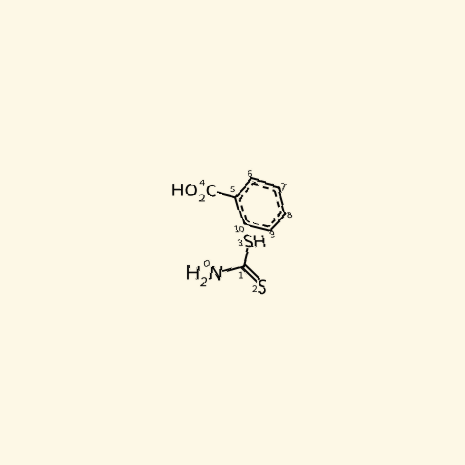 NC(=S)S.O=C(O)c1ccccc1